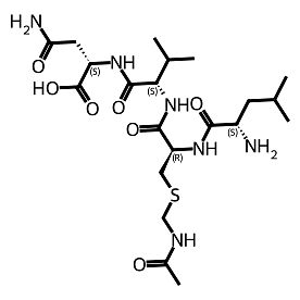 CC(=O)NCSC[C@H](NC(=O)[C@@H](N)CC(C)C)C(=O)N[C@H](C(=O)N[C@@H](CC(N)=O)C(=O)O)C(C)C